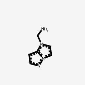 NCn1ccn2nccc12